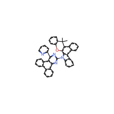 CC1(C)c2ccccc2Oc2c1c1ccccc1c1c3ccccc3n(-c3nc(-c4ccccn4)c4c5ccccc5c5ccccc5c4n3)c21